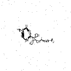 NCOS(=O)(=O)c1ncncn1